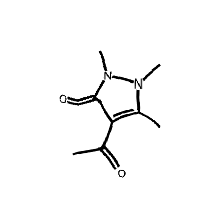 CC(=O)c1c(C)n(C)n(C)c1=O